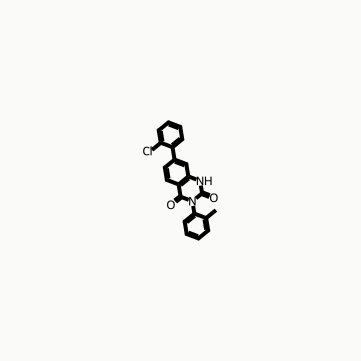 Cc1ccccc1-n1c(=O)[nH]c2cc(-c3ccccc3Cl)ccc2c1=O